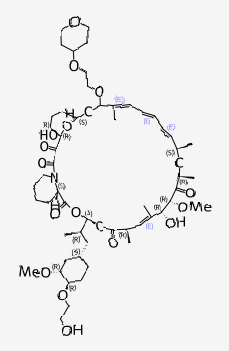 CO[C@@H]1C[C@H](C[C@@H](C)[C@@H]2CC(=O)[C@H](C)/C=C(\C)[C@@H](O)[C@@H](OC)C(=O)[C@H](C)C[C@H](C)/C=C/C=C/C=C(\C)C(OCCOC3CCOCC3)C[C@@H]3CC[C@@H](C)[C@@](O)(O3)C(=O)C(=O)N3CCCC[C@H]3C(=O)O2)CC[C@H]1OCCO